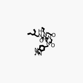 C=C/C=C(\C=C)CNC(=O)N1[C@H]2CN(Cc3ccc4nn(C)nc4c3)C(=O)CN2C(=O)CN1CC=C